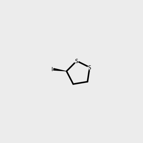 I[C@@H]1CCSS1